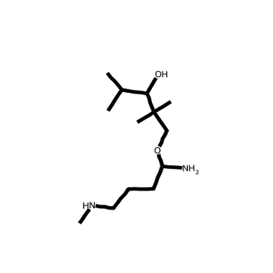 CNCCCC(N)OCC(C)(C)C(O)C(C)C